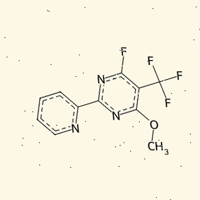 COc1nc(-c2ccccn2)nc(F)c1C(F)(F)F